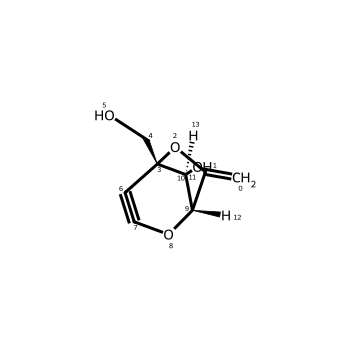 C=C1O[C@@]2(CO)C#CO[C@@H]1[C@@H]2O